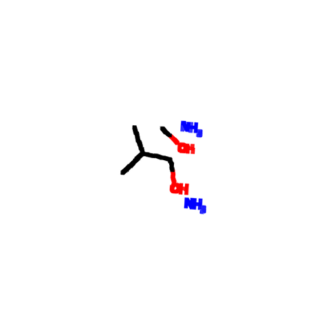 CC(C)CO.CO.N.N